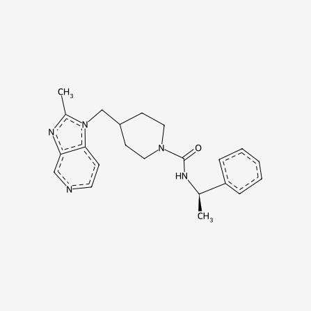 Cc1nc2cnccc2n1CC1CCN(C(=O)N[C@H](C)c2ccccc2)CC1